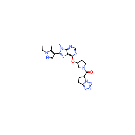 CCn1ncc(-c2nc3c(OC4CCN(C(=O)C5CCc6nnnn65)C4)ncnc3n2C)c1C